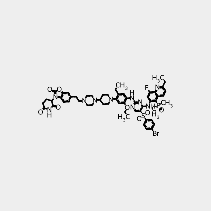 CCOc1cc(N2CCC(N3CCN(CCc4ccc5c(c4)oc(=O)n5C4CCC(=O)NC4=O)CC3)CC2)c(CC)cc1Nc1ncc(S(=O)(=O)c2ccc(Br)cc2)c(Nc2cc(F)c3nc(CC)ccc3c2P(C)(C)=O)n1